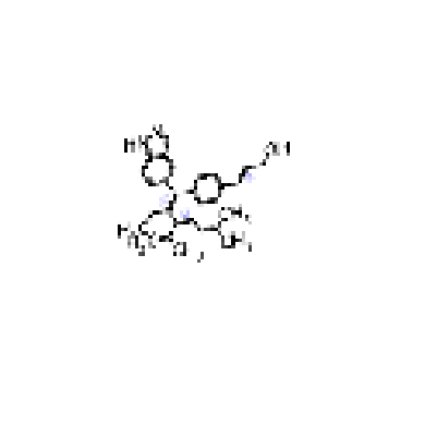 C=C(C)C(=C\C=C(C)C)/C(CC)=C(\c1ccc(/C=C/CO)cc1)c1ccc2[nH]ncc2c1